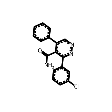 NC(=O)c1c(-c2ccccc2)cnnc1-c1cccc(Cl)c1